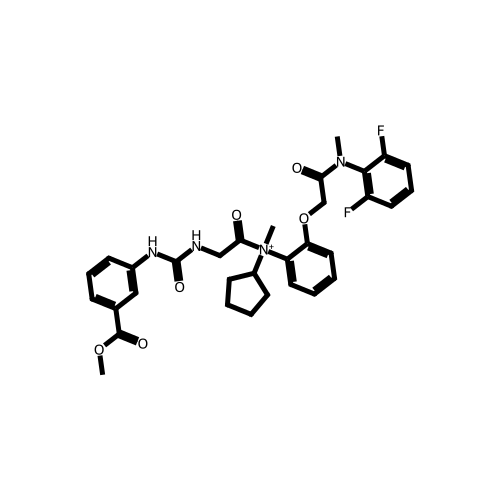 COC(=O)c1cccc(NC(=O)NCC(=O)[N+](C)(c2ccccc2OCC(=O)N(C)c2c(F)cccc2F)C2CCCC2)c1